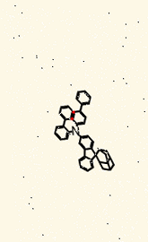 c1ccc(-c2ccc(N(c3ccc4c(c3)-c3ccccc3C43C4CC5CC(C4)CC3C5)c3ccccc3-c3ccccc3)cc2)cc1